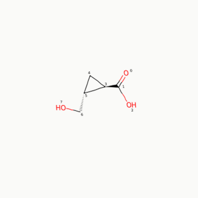 O=C(O)[C@@H]1C[C@H]1CO